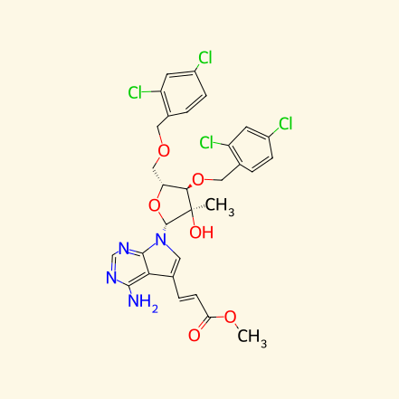 COC(=O)C=Cc1cn([C@@H]2O[C@H](COCc3ccc(Cl)cc3Cl)[C@@H](OCc3ccc(Cl)cc3Cl)[C@@]2(C)O)c2ncnc(N)c12